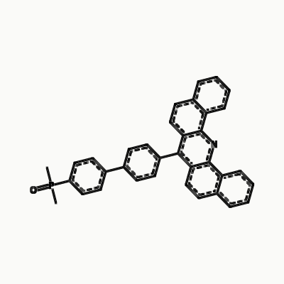 CP(C)(=O)c1ccc(-c2ccc(-c3c4ccc5ccccc5c4nc4c3ccc3ccccc34)cc2)cc1